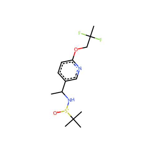 CC(N[S+]([O-])C(C)(C)C)c1ccc(OCC(C)(F)F)nc1